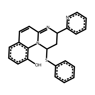 Oc1cccc2c1N1C(=NC(c3ccccn3)CC1Sc1ccccc1)C=C2